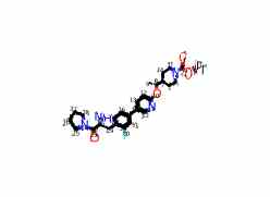 CC(C)OC(=O)N1CCC([C@H](C)Oc2ccc(-c3ccc(CC(N)C(=O)N4CCCC4)c(F)c3)cn2)CC1